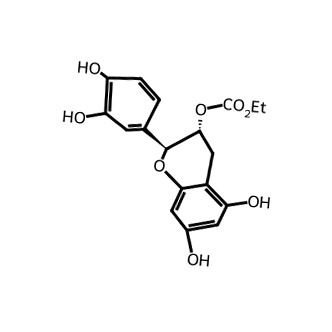 CCOC(=O)O[C@@H]1Cc2c(O)cc(O)cc2O[C@H]1c1ccc(O)c(O)c1